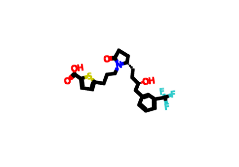 O=C(O)c1ccc(CCCN2C(=O)CC[C@@H]2CC[C@H](O)Cc2cccc(C(F)(F)F)c2)s1